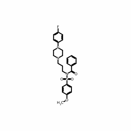 COc1ccc(S(=O)(=O)N(CCCN2CCN(c3ccc(F)cc3)CC2)C(=O)c2ccccc2)cc1